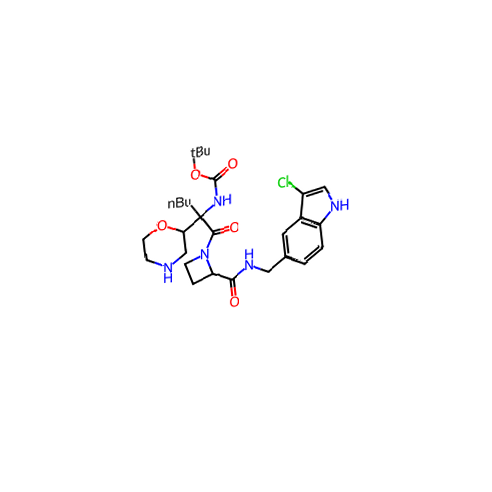 CCCCC(NC(=O)OC(C)(C)C)(C(=O)N1CCC1C(=O)NCc1ccc2[nH]cc(Cl)c2c1)C1CNCCO1